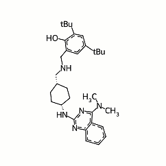 CN(C)c1nc(N[C@H]2CC[C@@H](CNCc3cc(C(C)(C)C)cc(C(C)(C)C)c3O)CC2)nc2ccccc12